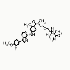 COc1ccc(-c2cnc3c(Nc4ccc(C(=O)N(C)CCOCCNC(C)(C)C(N)=O)c(C)c4)nccn23)cc1F